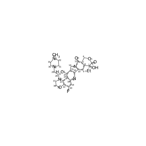 CC[C@@]1(O)C(=O)OCc2c1cc1n(c2=O)Cc2c-1nc1cc(F)c3c(c1c2C)N(CCN1CCN(C)CC1)CCO3